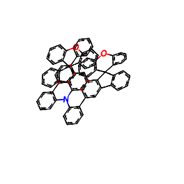 c1ccc(-c2ccc(-c3ccccc3N(c3ccccc3-c3ccc4c(c3)-c3ccccc3C43c4ccccc4Oc4ccccc43)c3cccc4c3-c3ccccc3C43c4ccccc4Oc4ccccc43)cc2)cc1